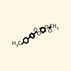 CCC1CCC(c2ccc(C(=O)Oc3ccc(OC(C)=O)cc3)cc2)CC1